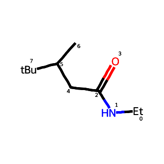 CCNC(=O)CC(C)C(C)(C)C